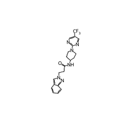 O=C(CCn1cc2ccccc2n1)NC1CCN(c2ncc(C(F)(F)F)cn2)CC1